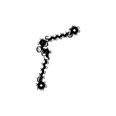 O=C(c1ccc(SCCCCCCCCOc2ccccc2)o1)c1ccc(SCCCCCCCCOc2ccccc2)o1